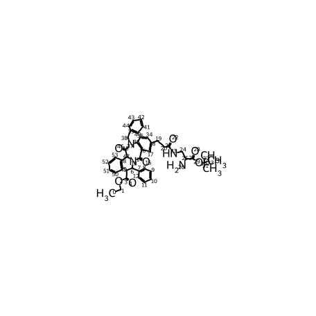 CCOC(=O)CC(c1ccccc1)N1C(=O)c2cc(CCC(=O)NCC(N)C(=O)OC(C)(C)C)ccc2N(Cc2ccccc2)C(=O)C1c1ccccc1